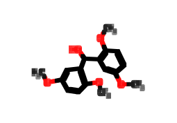 OC(c1cc(OC(F)(F)F)ccc1OC(F)(F)F)c1cc(OC(F)(F)F)ccc1OC(F)(F)F